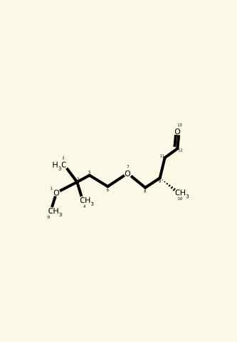 COC(C)(C)CCOC[C@@H](C)CC=O